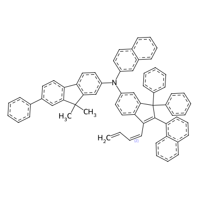 C=C/C=C\C1=C(c2cccc3ccccc23)C(c2ccccc2)(c2ccccc2)c2cc(N(c3ccc4c(c3)C(C)(C)c3cc(-c5ccccc5)ccc3-4)c3ccc4ccccc4c3)ccc21